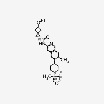 CCOC1CC2(C1)C[C@H]2C(=O)Nc1cc2cc(C3CCN([C@@]4(C)COC[C@H]4F)CC3)c(C)cc2cn1